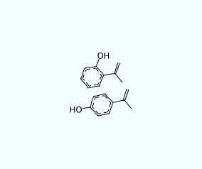 C=C(C)c1ccc(O)cc1.C=C(C)c1ccccc1O